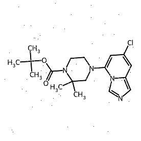 CC(C)(C)OC(=O)N1CCN(c2cc(Cl)cc3cncn23)CC1(C)C